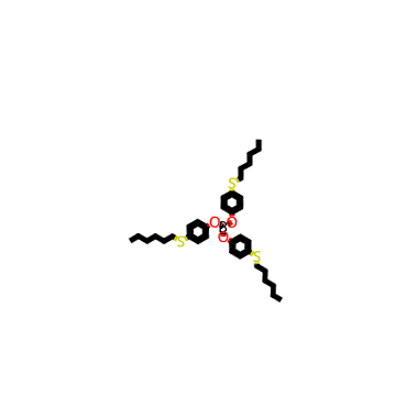 CCCCCCSc1ccc(OB(Oc2ccc(SCCCCCC)cc2)Oc2ccc(SCCCCCC)cc2)cc1